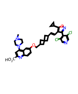 CN1CCN(c2cc(C(=O)O)nc3ccc(OCC4CC5(CC(/C=C/c6c(-c7c(Cl)cncc7Cl)noc6C6CC6)C5)C4)cc23)CC1